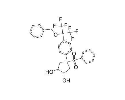 O=S(=O)(c1ccccc1)C1(c2ccc(C(OCc3ccccc3)(C(F)(F)F)C(F)(F)F)cc2)CC(O)C(O)C1